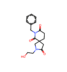 O=C1CC2(CCC(=O)N(Cc3ccccc3)C2=O)CN1CCO